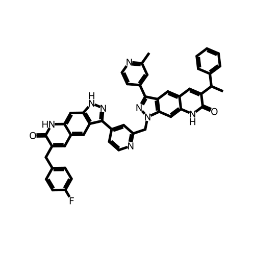 Cc1cc(-c2nn(Cc3cc(-c4n[nH]c5cc6[nH]c(=O)c(Cc7ccc(F)cc7)cc6cc45)ccn3)c3cc4[nH]c(=O)c(C(C)c5ccccc5)cc4cc23)ccn1